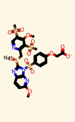 COc1ccc2nc([S+]([O-])Cc3ncc(S(C)(=O)=O)c(OC)c3S(C)(=O)=O)n(S(=O)(=O)c3ccc(OCC(=O)[O-])cc3)c2n1.[Na+]